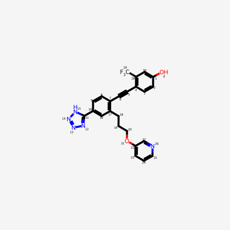 Oc1ccc(C#Cc2ccc(-c3nnn[nH]3)cc2CCCOc2cccnc2)c(C(F)(F)F)c1